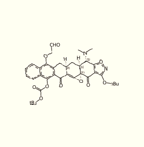 CCCCOc1noc2c1C(=O)[C@@]13OC1=C1C(=O)c4c(c(OCC=O)c5ccccc5c4OC(=O)OC(C)(C)C)C[C@H]1C[C@H]3[C@@H]2N(C)C